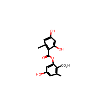 Cc1cc(O)cc(O)c1C(=O)Oc1cc(O)cc(C)c1C(=O)O